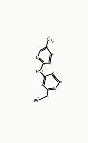 CC(C)Cc1cc(Nc2ccc(N)cn2)ccn1